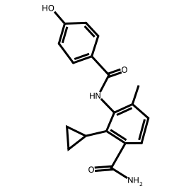 Cc1ccc(C(N)=O)c(C2CC2)c1NC(=O)c1ccc(O)cc1